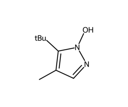 Cc1cnn(O)c1C(C)(C)C